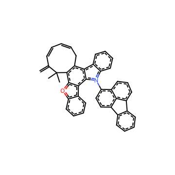 C=C1/C=C\C=C/Cc2c(c3oc4ccccc4c3c3c2c2ccccc2n3-c2ccc3c4c(cccc24)-c2ccccc2-3)C1(C)C